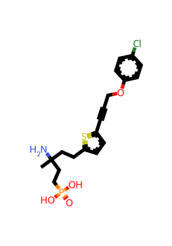 CC(N)(CCc1ccc(C#CCOc2ccc(Cl)cc2)s1)CCP(=O)(O)O